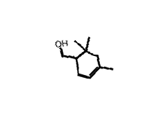 CC1=CCC(CO)C(C)(C)C1